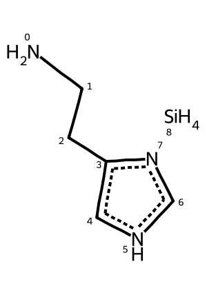 NCCc1c[nH]cn1.[SiH4]